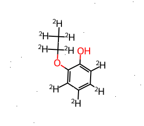 [2H]c1c([2H])c([2H])c(OC([2H])([2H])C([2H])([2H])[2H])c(O)c1[2H]